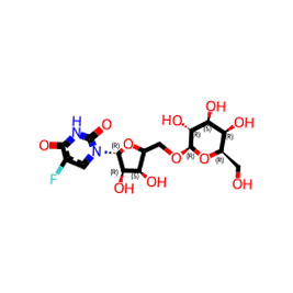 O=c1[nH]c(=O)n([C@@H]2OC(CO[C@@H]3O[C@H](CO)[C@H](O)[C@H](O)[C@H]3O)[C@@H](O)[C@H]2O)cc1F